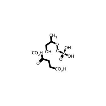 CC(CO)OOP(=O)(O)O.O=C(O)CCC(=O)C(=O)O